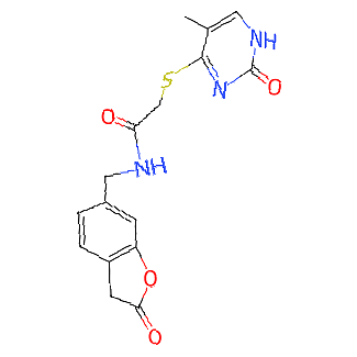 Cc1c[nH]c(=O)nc1SCC(=O)NCc1ccc2c(c1)OC(=O)C2